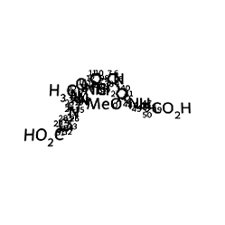 COc1cc(-c2nccc(-c3cccc(NC(=O)c4nc5c(n4C)CCN(CC46CCC(C(=O)O)(CC4)C6)C5)c3Cl)c2Cl)ccc1CNCC12CC(C(=O)O)(C1)C2